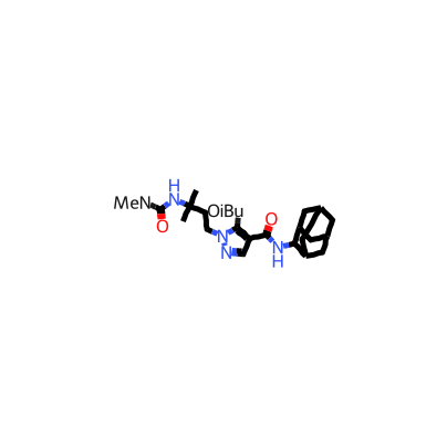 CNC(=O)NC(C)(C)CCn1ncc(C(=O)NC2C3CC4CC(C3)CC2C4)c1OCC(C)C